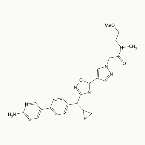 COCCN(C)C(=O)Cn1cc(-c2nc([C@@H](c3ccc(-c4cnc(N)nc4)cc3)C3CC3)no2)cn1